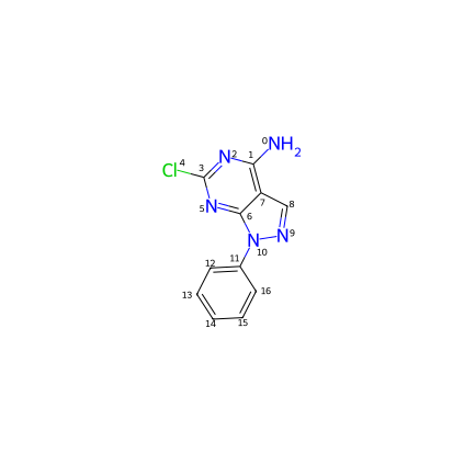 Nc1nc(Cl)nc2c1cnn2-c1ccccc1